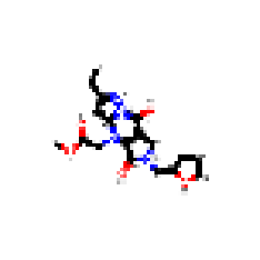 CCc1cc2n(CC(=O)OC)c3c(c(=O)n2n1)CN(CC1CCCO1)C3=O